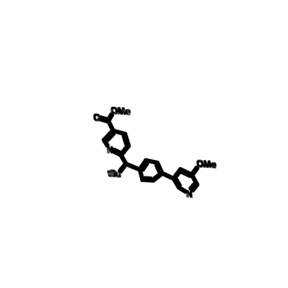 COC(=O)c1ccc(C(c2ccc(-c3cncc(OC)c3)cc2)C(C)(C)C)nc1